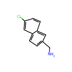 NCc1ccc2cc(Cl)ccc2c1